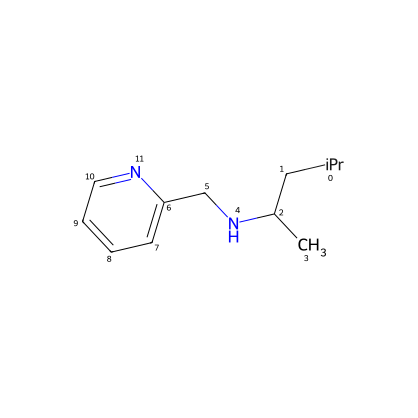 CC(C)CC(C)NCc1ccccn1